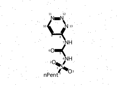 CCCCCS(=O)(=O)NC(=O)Nc1ccnnn1